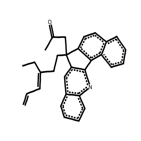 C=C/C=C(\CC)CCC1(CC(C)=O)c2cc3ccccc3nc2-c2c1ccc1ccccc21